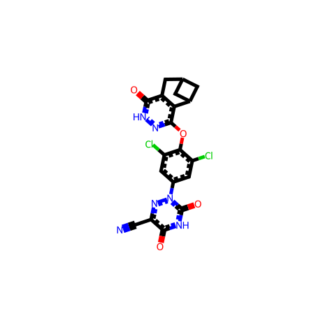 N#Cc1nn(-c2cc(Cl)c(Oc3n[nH]c(=O)c4c3C3CC(C4)C3)c(Cl)c2)c(=O)[nH]c1=O